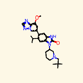 COc1cc(-c2cc3[nH]c(=O)n(C4CCCN(CC(C)(C)C)C4)c3cc2C(C)C)cn2ncnc12